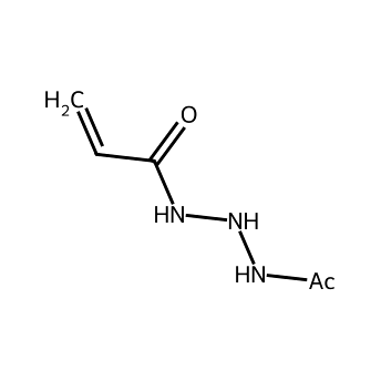 C=CC(=O)NNNC(C)=O